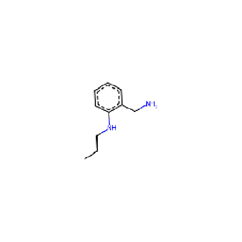 CCCNc1ccccc1CN